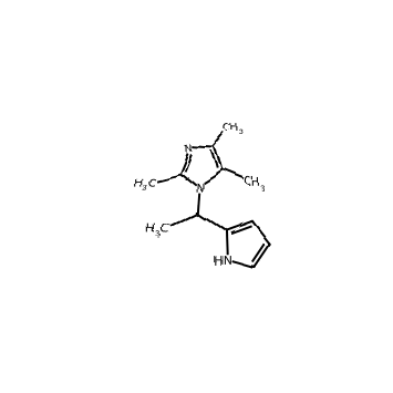 Cc1nc(C)n(C(C)c2ccc[nH]2)c1C